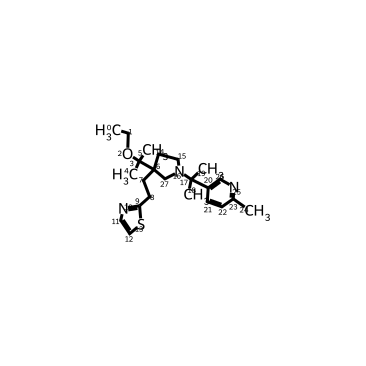 CCOC(C)(C)C1(CCc2nccs2)CCN(C(C)(C)c2ccc(C)nc2)C1